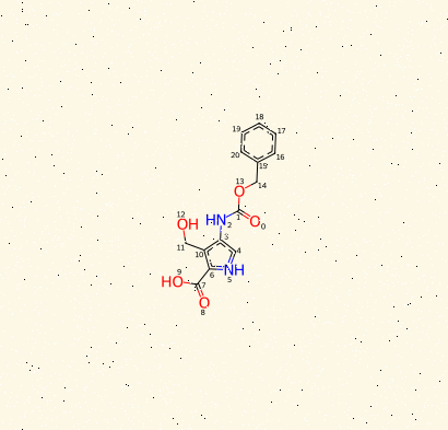 O=C(Nc1c[nH]c(C(=O)O)c1CO)OCc1ccccc1